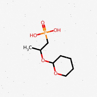 CC(CP(=O)(O)O)OC1CCCCO1